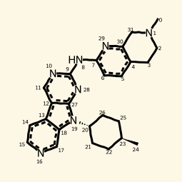 CN1CCc2ccc(Nc3ncc4c5ccncc5n([C@H]5CC[C@H](C)CC5)c4n3)nc2C1